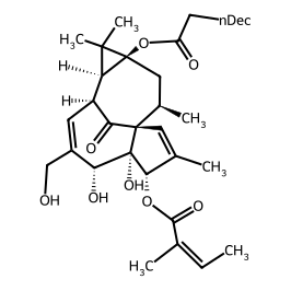 C/C=C(/C)C(=O)O[C@H]1C(C)=C[C@]23C(=O)[C@@H](C=C(CO)[C@@H](O)[C@]12O)[C@H]1C(C)(C)[C@]1(OC(=O)CCCCCCCCCCC)C[C@H]3C